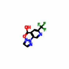 O=C(O)c1cc(C(F)(F)F)ncc1-n1nccn1